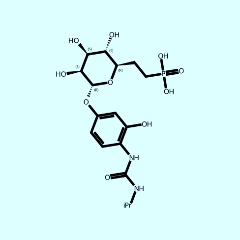 CC(C)NC(=O)Nc1ccc(O[C@H]2O[C@H](CCP(=O)(O)O)[C@@H](O)[C@H](O)[C@@H]2O)cc1O